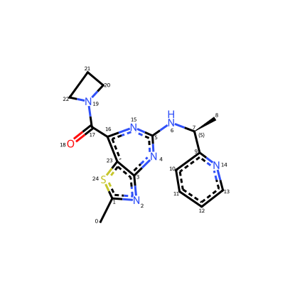 Cc1nc2nc(N[C@@H](C)c3ccccn3)nc(C(=O)N3CCC3)c2s1